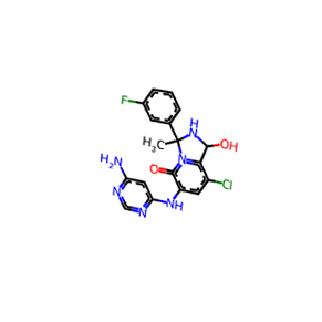 CC1(c2cccc(F)c2)NC(O)c2c(Cl)cc(Nc3cc(N)ncn3)c(=O)n21